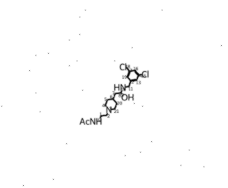 CC(=O)NCCN1CCC(CC(O)NCc2cc(Cl)cc(Cl)c2)CC1